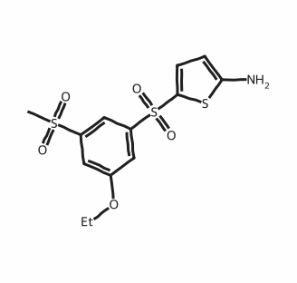 CCOc1cc(S(C)(=O)=O)cc(S(=O)(=O)c2ccc(N)s2)c1